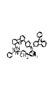 C=C(/C=C\C=C/C)c1nc(-c2ccccc2)nc(-c2cccc3c2oc2c(-c4ccc5c(c4)c4cc6c(cc4n5-c4ccccc4)c4ccccc4n6-c4ccccc4)cccc23)n1